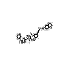 CN1C(=O)[C@H](NC(=O)c2n[nH]c(Cc3ccccc3)n2)COc2ccc(C#CCCOc3ccc4ncccc4c3)cc21